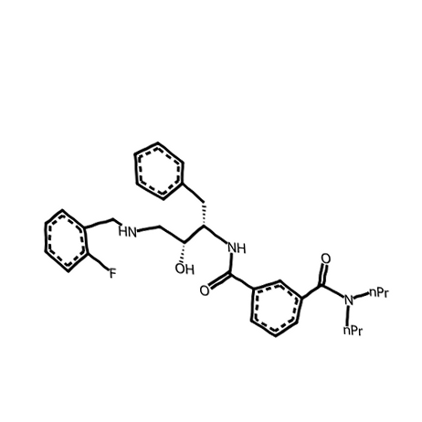 CCCN(CCC)C(=O)c1cccc(C(=O)N[C@@H](Cc2ccccc2)[C@H](O)CNCc2ccccc2F)c1